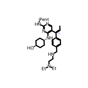 C/C=C(/c1ccc(CNCCN(CC)CC)cc1)c1cnc(NC(C)CCC)nc1N[C@H]1CC[C@H](O)CC1